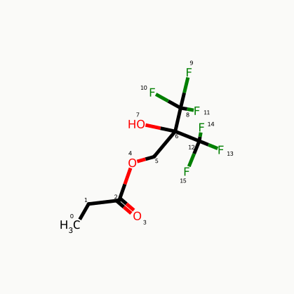 CCC(=O)OCC(O)(C(F)(F)F)C(F)(F)F